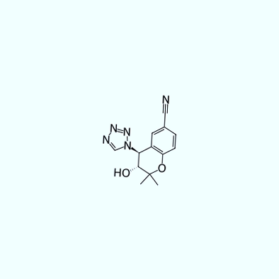 CC1(C)Oc2ccc(C#N)cc2[C@H](n2cnnn2)[C@H]1O